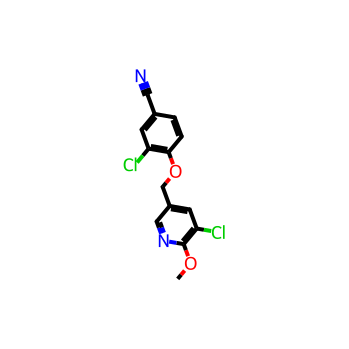 COc1ncc(COc2ccc(C#N)cc2Cl)cc1Cl